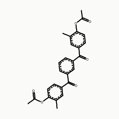 CC(=O)Oc1ccc(C(=O)c2cccc(C(=O)c3ccc(OC(C)=O)c(C)c3)c2)cc1C